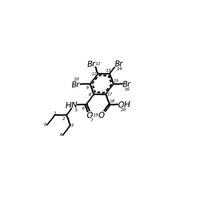 CCC(CC)NC(=O)c1c(Br)c(Br)c(Br)c(Br)c1C(=O)O